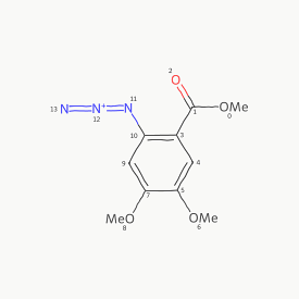 COC(=O)c1cc(OC)c(OC)cc1N=[N+]=[N-]